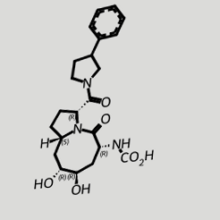 O=C(O)N[C@@H]1C[C@@H](O)[C@H](O)C[C@@H]2CC[C@H](C(=O)N3CCC(c4ccccc4)C3)N2C1=O